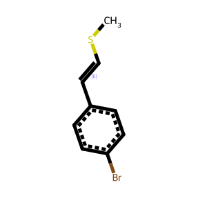 CS/C=C/c1ccc(Br)cc1